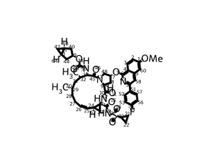 COc1ccc2c(O[C@@H]3C[C@H]4C(=O)N[C@]5(C(=O)NS(=O)(=O)C6CC6)C[C@H]5/C=C\CC[C@H](C)C[C@@H](C)[C@H](NC(=O)O[C@@H]5C[C@@H]6C[C@@H]6C5)C(=O)N4C3)nc(-c3ccc(F)cc3)cc2c1